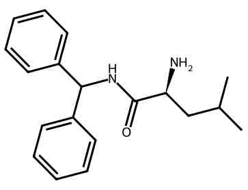 CC(C)C[C@H](N)C(=O)NC(c1ccccc1)c1ccccc1